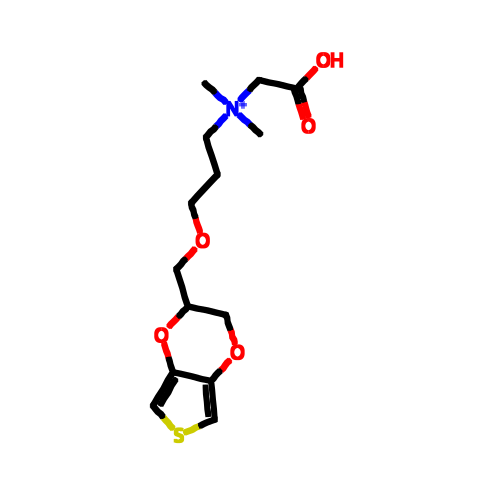 C[N+](C)(CCCOCC1COc2cscc2O1)CC(=O)O